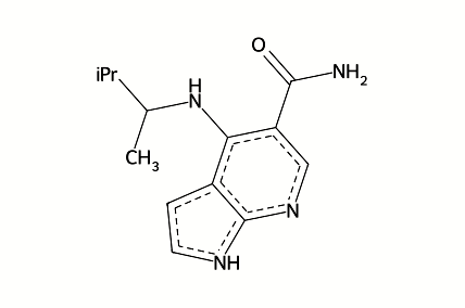 CC(C)C(C)Nc1c(C(N)=O)cnc2[nH]ccc12